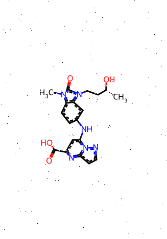 C[C@@H](O)CCn1c(=O)n(C)c2ccc(Nc3cc(C(=O)O)nc4ccnn34)cc21